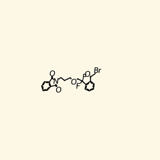 O=C(CBr)c1ccccc1C(F)(F)COCCCN1C(=O)c2ccccc2C1=O